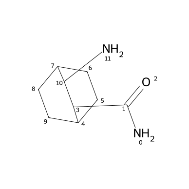 NC(=O)C1C2CCC(CC2)C1N